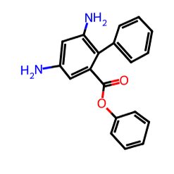 Nc1cc(N)c(-c2ccccc2)c(C(=O)Oc2ccccc2)c1